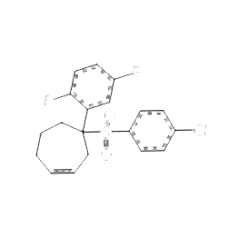 O=S(=O)(c1ccc(Cl)cc1)C1(c2cc(F)ccc2F)CC=CCCC1